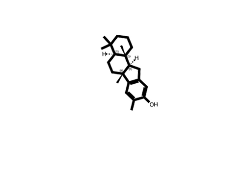 Cc1cc2c(cc1O)C[C@@H]1[C@@]3(C)CCCC(C)(C)[C@@H]3CC[C@@]21C